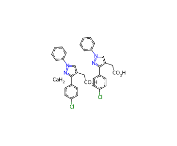 O=C(O)Cc1cn(-c2ccccc2)nc1-c1ccc(Cl)cc1.O=C(O)Cc1cn(-c2ccccc2)nc1-c1ccc(Cl)cc1.[CaH2]